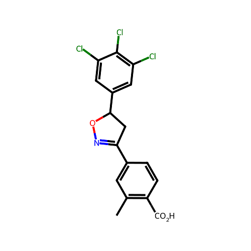 Cc1cc(C2=NOC(c3cc(Cl)c(Cl)c(Cl)c3)C2)ccc1C(=O)O